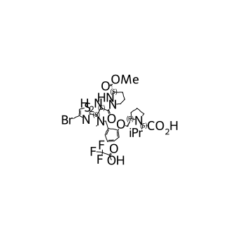 COC(=O)[C@@H]1CCCN(C(=O)[C@@H](N)[C@@H](c2nc(Br)cs2)N(C)Cc2ccccc2OC[C@H]2CCCN2[C@H](C(=O)O)C(C)C)N1.O=C(O)C(F)(F)F